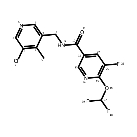 Cc1c(Cl)cncc1CNC(=O)c1cnc(OC(F)F)c(F)c1